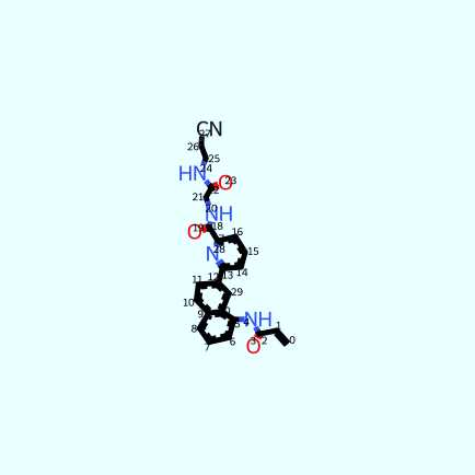 C=CC(=O)Nc1cccc2ccc(-c3cccc(C(=O)NCC(=O)NCCC#N)n3)cc12